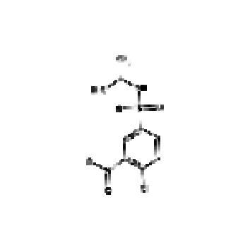 CC(C)NS(=O)(=O)c1ccc(Cl)c([N+](=O)[O-])c1